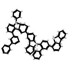 c1ccc(-c2cccc(-c3cccc4c3c3cc(-c5ccc6c(c5)c5ccccc5n6-c5ccc(-c6cccc7c6oc6ccccc67)cc5-c5ccccc5)ccc3n4-c3ccccc3)c2)cc1